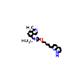 Cc1nccc2c(C(C(=O)O)N3CC(OCCCCCc4ccc5c(n4)NCCC5)C3)cccc12